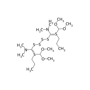 CCCS(=C(SSSSC(N(C)C)=S(CCC)C(OC)OC)N(C)C)C(OC)OC